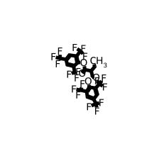 CCC(C(=O)Oc1c(C(F)(F)F)cc(C(F)(F)F)cc1C(F)(F)F)C(=O)Oc1c(C(F)(F)F)cc(C(F)(F)F)cc1C(F)(F)F